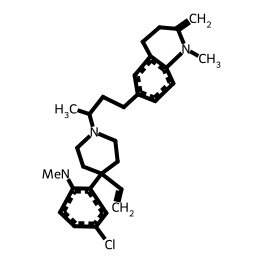 C=CC1(c2cc(Cl)ccc2NC)CCN(C(C)CCc2ccc3c(c2)CCC(=C)N3C)CC1